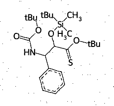 CC(C)(C)OC(=O)NC(c1ccccc1)C(O[Si](C)(C)C(C)(C)C)C(=S)OC(C)(C)C